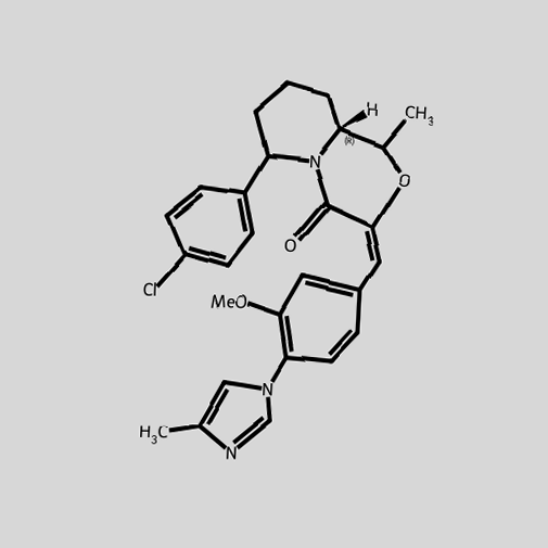 COc1cc(C=C2OC(C)[C@H]3CCCC(c4ccc(Cl)cc4)N3C2=O)ccc1-n1cnc(C)c1